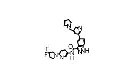 O=C(Nc1ccc(N2CCC(F)(F)C2)nc1)c1n[nH]c2ccc(-c3cncc(CN4CCCC4)c3)cc12